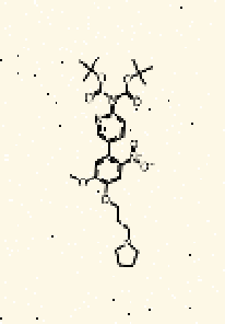 COc1cc(-c2ccc(N(C(=O)OC(C)(C)C)C(=O)OC(C)(C)C)nc2)c([N+](=O)[O-])cc1OCCCN1CCCC1